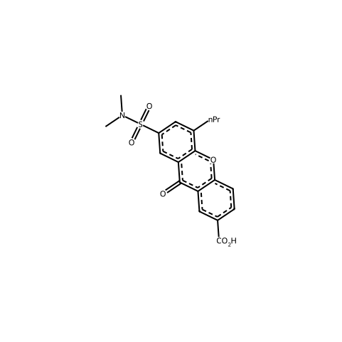 CCCc1cc(S(=O)(=O)N(C)C)cc2c(=O)c3cc(C(=O)O)ccc3oc12